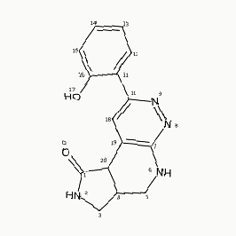 O=C1NCC2CNc3nnc(-c4ccccc4O)cc3C12